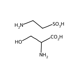 NC(CO)C(=O)O.NCCS(=O)(=O)O